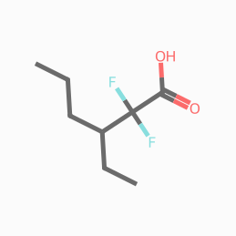 CCCC(CC)C(F)(F)C(=O)O